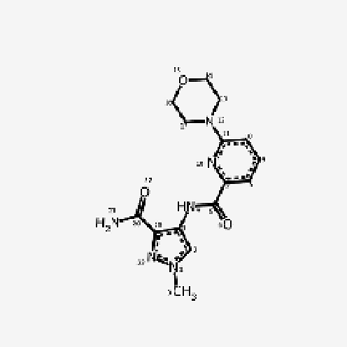 Cn1cc(NC(=O)c2cccc(N3CCOCC3)n2)c(C(N)=O)n1